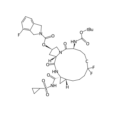 CC(C)(C)OC(=O)N[C@H]1CCCC(F)(F)CCC[C@@H]2C[C@@]2(C(=O)NS(=O)(=O)C2CC2)NC(=O)[C@@H]2C[C@@H](OC(=O)N3Cc4cccc(F)c4C3)CN2C1=O